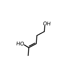 CC(O)=CCCO